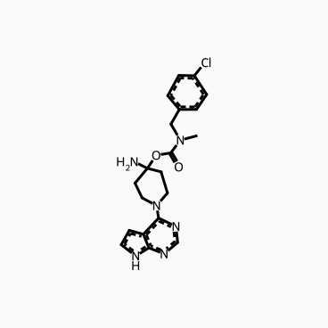 CN(Cc1ccc(Cl)cc1)C(=O)OC1(N)CCN(c2ncnc3[nH]ccc23)CC1